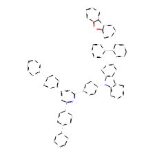 c1ccc(-c2ccc(-c3cc(-c4ccc(-c5ccccc5)cc4)nc(-c4ccc(-n5c6ccccc6c6cc(-c7ccccc7-c7ccccc7-c7cccc8c7oc7ccccc78)ccc65)cc4)c3)cc2)cc1